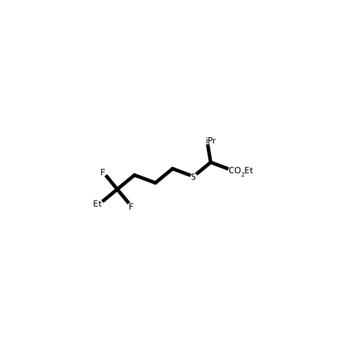 CCOC(=O)C(SCCCC(F)(F)CC)C(C)C